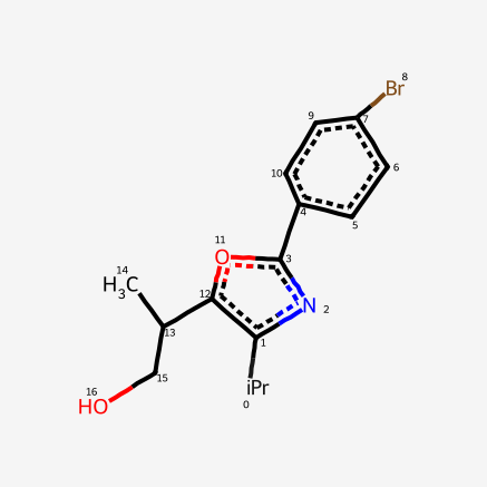 CC(C)c1nc(-c2ccc(Br)cc2)oc1C(C)CO